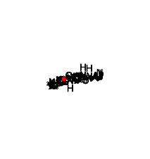 O=C(NCc1cccnc1)Nc1ccc(N[S+]([O-])c2ccc(-n3cccn3)cc2)cc1